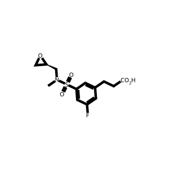 CN(C[C@H]1CO1)S(=O)(=O)c1cc(F)cc(CCC(=O)O)c1